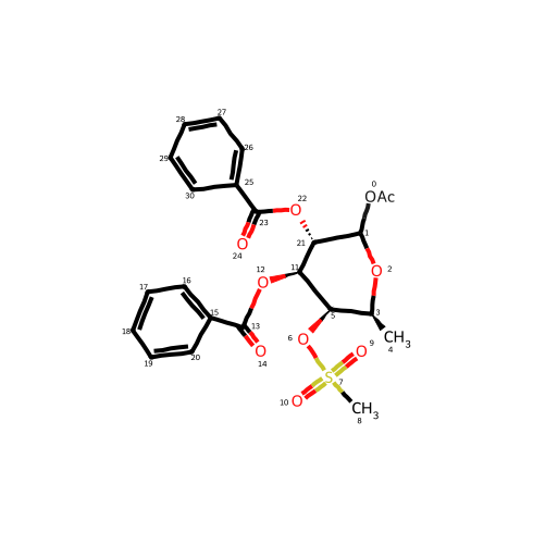 CC(=O)OC1O[C@@H](C)[C@@H](OS(C)(=O)=O)[C@@H](OC(=O)c2ccccc2)[C@@H]1OC(=O)c1ccccc1